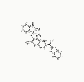 Cc1cc2ccc(C(=O)N3Cc4ccccc4C3)nc2cc1CC1(C)C(=O)Nc2ncccc21